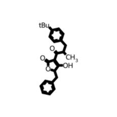 CC(Cc1ccc(C(C)(C)C)cc1)C(=O)C1=C(O)C(Cc2ccccc2)OC1=O